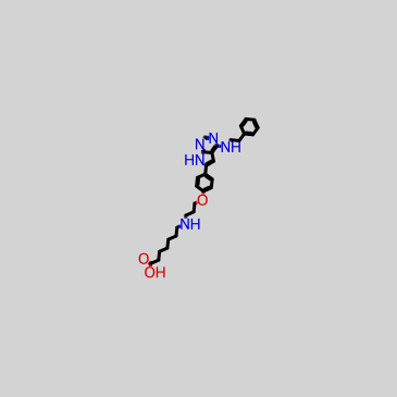 O=C(O)CCCCCCNCCCOc1ccc(-c2cc3c(NCCc4ccccc4)ncnc3[nH]2)cc1